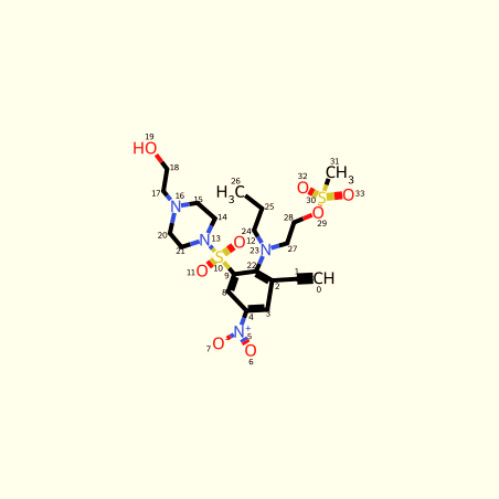 C#Cc1cc([N+](=O)[O-])cc(S(=O)(=O)N2CCN(CCO)CC2)c1N(CCC)CCOS(C)(=O)=O